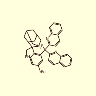 CC(C)(C)c1ccc(C2(CP)C3CC4CC(C3)CC2C4)c(C(P)(c2ccc3ccccc3n2)c2ccc3ccccc3n2)c1